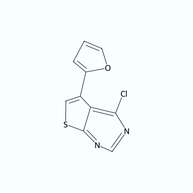 Clc1ncnc2scc(-c3ccco3)c12